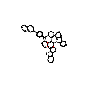 C1=C(c2ccccc2-n2c3ccccc3c3ccccc32)C(N(c2ccc(-c3ccc4ccccc4c3)cc2)c2cccc(-c3cccc4c3oc3ccccc34)c2)=CCC1